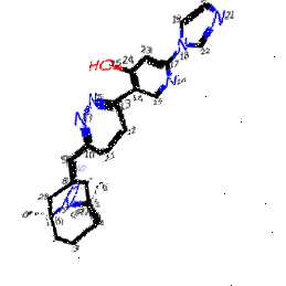 C[C@]12CCC[C@](C)(C/C(=C\c3ccc(-c4cnc(-n5ccnc5)cc4O)nn3)C1)N2